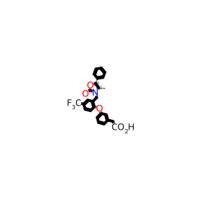 C[C@H]1[C@@H](c2ccccc2)OC(=O)N1Cc1cc(C(F)(F)F)ccc1Oc1cccc(CC(=O)O)c1